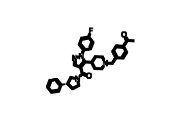 CC(=O)c1ccc(CN2CCC(c3c(C(=O)N4CC[C@H](c5ccccc5)C4)cnn3-c3ccc(F)cc3)CC2)cc1